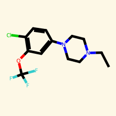 CCN1CCN(c2ccc(Cl)c(OC(F)(F)F)c2)CC1